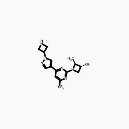 C[C@H]1[C@H](O)CN1c1nc(-c2cnn(C3CNC3)c2)cc(C(F)(F)F)n1